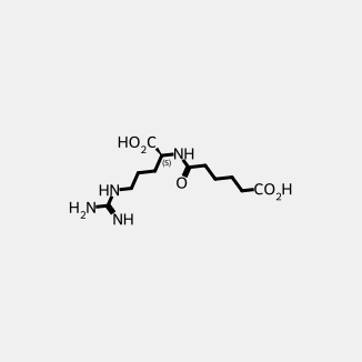 N=C(N)NCCC[C@H](NC(=O)CCCCC(=O)O)C(=O)O